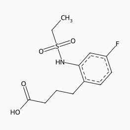 CCS(=O)(=O)Nc1cc(F)ccc1CCCC(=O)O